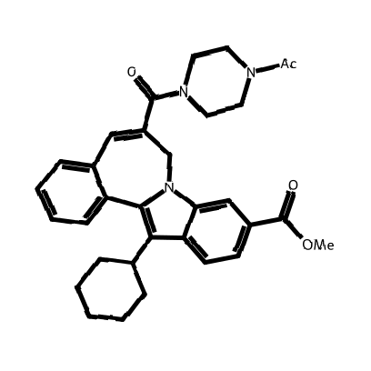 COC(=O)c1ccc2c(C3CCCCC3)c3n(c2c1)CC(C(=O)N1CCN(C(C)=O)CC1)=Cc1ccccc1-3